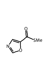 CSC(=O)c1cnco1